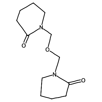 O=C1CCCCN1COCN1CCCCC1=O